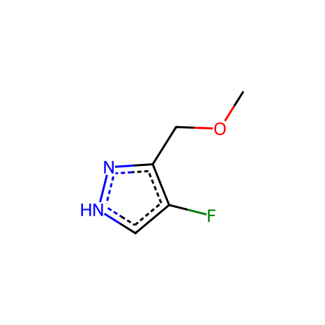 COCc1n[nH]cc1F